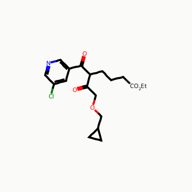 CCOC(=O)CCCC(C(=O)COCC1CC1)C(=O)c1cncc(Cl)c1